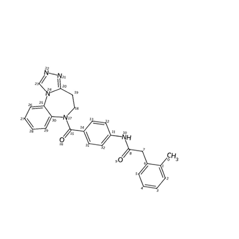 Cc1ccccc1CC(=O)Nc1ccc(C(=O)N2CCc3nncn3-c3ccccc32)cc1